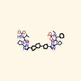 CCN(C(=O)OC)C(C(=O)N1CCCC1c1ncc(-c2ccc(-c3ccc4cc(-c5cnc(C6CCCN6C(=O)C(NC(=O)OC)C(C)C)[nH]5)ccc4c3)cc2)[nH]1)c1ccccc1